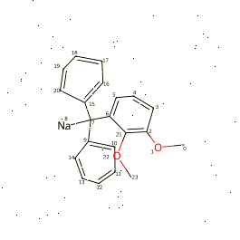 COc1cccc([C]([Na])(c2ccccc2)c2ccccc2)c1OC